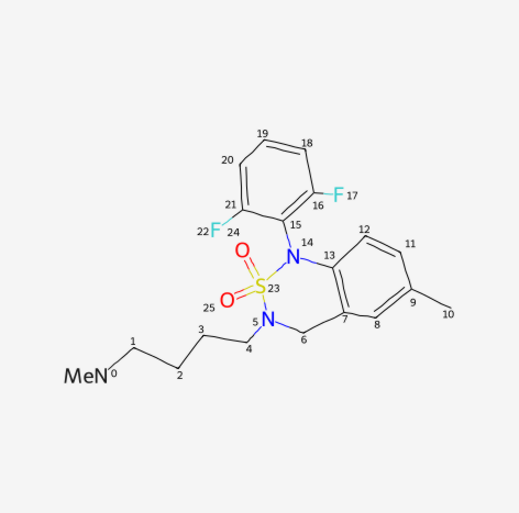 CNCCCCN1Cc2cc(C)ccc2N(c2c(F)cccc2F)S1(=O)=O